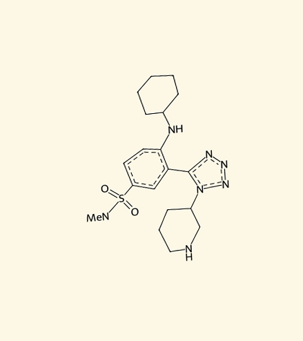 CNS(=O)(=O)c1ccc(NC2CCCCC2)c(-c2nnnn2C2CCCNC2)c1